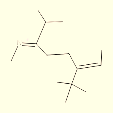 C/C=C(\CC/C(=N\C)C(C)C)C(C)(C)C